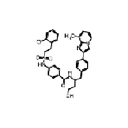 Cc1cccn2cc(-c3ccc(CC(CCO)NC(=O)c4ccc(NS(=O)(=O)CCc5ccccc5Cl)cc4)cc3)nc12